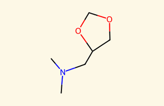 CN(C)CC1COCO1